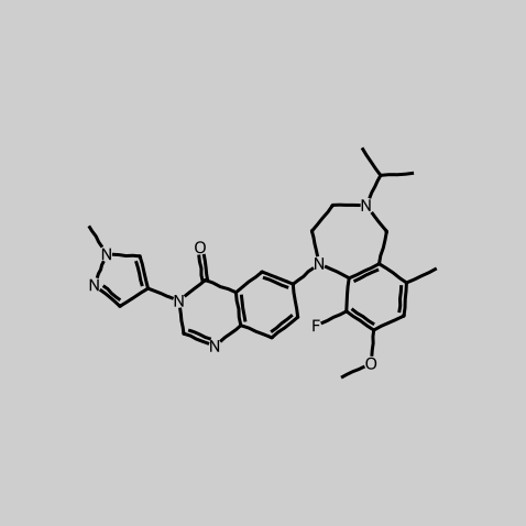 COc1cc(C)c2c(c1F)N(c1ccc3ncn(-c4cnn(C)c4)c(=O)c3c1)CCN(C(C)C)C2